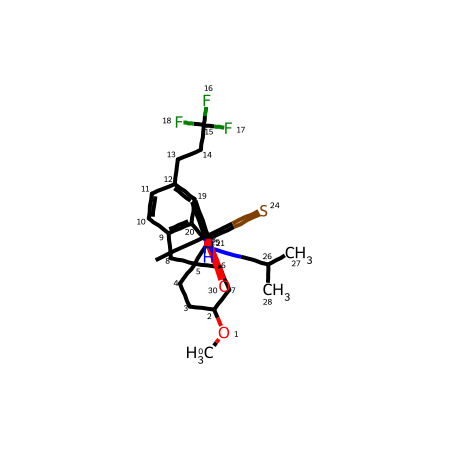 COC1CCC2(CC1)Cc1ccc(CCC(F)(F)F)cc1C21NC(=S)N(C(C)C)C1=O